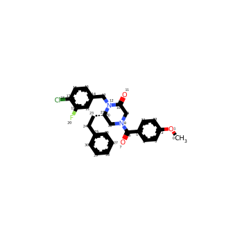 COc1ccc(C(=O)N2CC(=O)N(Cc3ccc(Cl)c(F)c3)[C@@H](CCc3ccccc3)C2)cc1